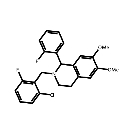 COc1cc2c(cc1OC)C(c1ccccc1F)N(Cc1c(F)cccc1Cl)CC2